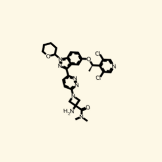 C[C@@H](Oc1ccc2c(c1)c(-c1ccc(N3CC(N)(C(=O)N(C)C)C3)nn1)nn2C1CCCCO1)c1c(Cl)cncc1Cl